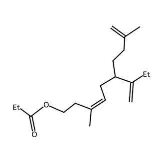 C=C(C)CCC(C/C=C(/C)CCOC(=O)CC)C(=C)CC